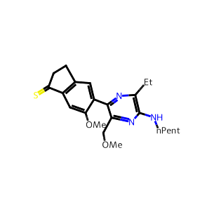 CCCCCNc1nc(COC)c(-c2cc3c(cc2OC)C(=S)CC3)nc1CC